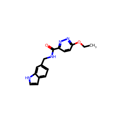 CCOc1ccc(C(=O)NCc2ccc3cc[nH]c3c2)nn1